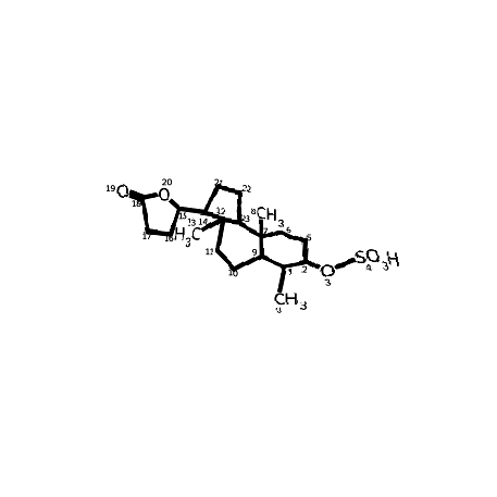 CC1C(OS(=O)(=O)O)CCC2(C)C1CCC1(C)C(C3CCC(=O)O3)CCC12